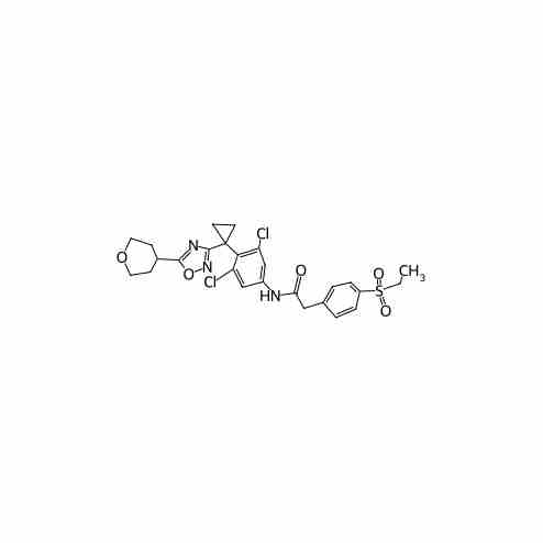 CCS(=O)(=O)c1ccc(CC(=O)Nc2cc(Cl)c(C3(c4noc(C5CCOCC5)n4)CC3)c(Cl)c2)cc1